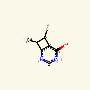 CC1c2nc[nH]c(=O)c2C1C